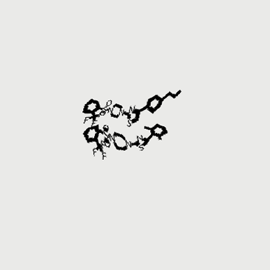 CCCc1ccc(-c2csc(N3CCN(S(=O)(=O)c4ccccc4C(F)(F)F)CC3)n2)cc1.Cc1cccc(C)c1-c1csc(N2CCN(S(=O)(=O)c3ccccc3C(F)(F)F)CC2)n1